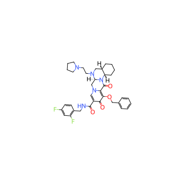 O=C(NCc1ccc(F)cc1F)c1cn2c(c(OCc3ccccc3)c1=O)C(=O)N1[C@H]3CCCC[C@H]3CN(CCN3CCCC3)[C@@H]1C2